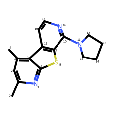 Cc1cc(C)c2c(n1)sc1c(N3CCCC3)nccc12